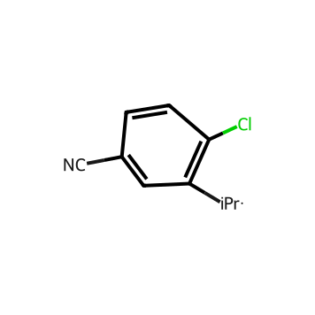 C[C](C)c1cc(C#N)ccc1Cl